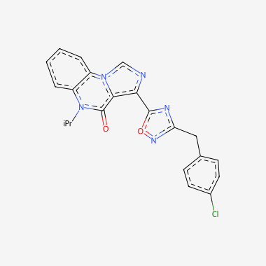 CC(C)n1c(=O)c2c(-c3nc(Cc4ccc(Cl)cc4)no3)ncn2c2ccccc21